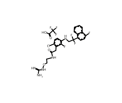 N=C(N)NOCCNC(=O)Cc1c(Cl)ccc(NCC(F)(F)c2ccc(F)c3ccccc23)c1F.O=C(O)C(F)(F)F